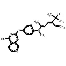 C=C/C(=C\C=C(/C)N(C)c1ccc(Oc2nc(O)c3ccncc3n2)cc1)C(C)(C)C